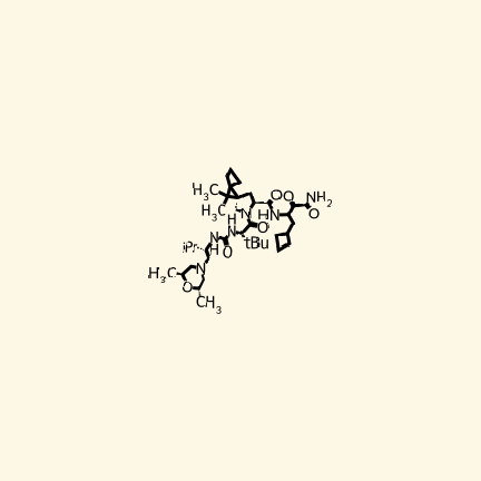 CC(C)[C@@H](CN1C[C@H](C)O[C@@H](C)C1)NC(=O)N[C@H](C(=O)N1C[C@]2(C[C@H]1C(=O)NC(CC1CCC1)C(=O)C(N)=O)C(C)(C)C21CCC1)C(C)(C)C